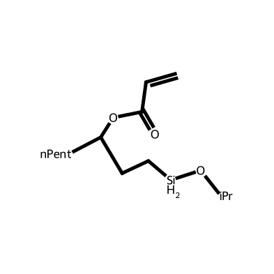 C=CC(=O)OC(CCCCC)CC[SiH2]OC(C)C